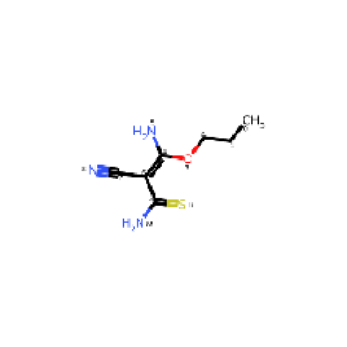 CCCOC(N)=C(C#N)C(N)=S